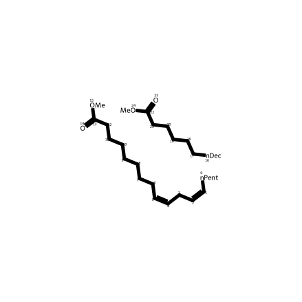 CCCCC/C=C\C/C=C\CCCCCCCC(=O)OC.CCCCCCCCCCCCCCCC(=O)OC